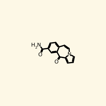 NC(=O)c1ccc2ccn3cccc3c(=O)c2c1